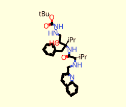 CC(C)[C@H](NCc1ccc2ccccc2n1)C(=O)N[C@@](Cc1ccccc1)(C(C)C)[C@H](O)CNNC(=O)OC(C)(C)C